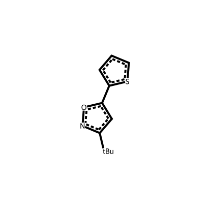 CC(C)(C)c1cc(-c2cccs2)on1